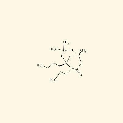 CCCC[C@@]1(O[Si](C)(C)C)C[C@@H](C)CC(=O)[C@@H]1CCC